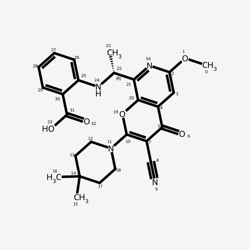 COc1cc2c(=O)c(C#N)c(N3CCC(C)(C)CC3)oc2c([C@@H](C)Nc2ccccc2C(=O)O)n1